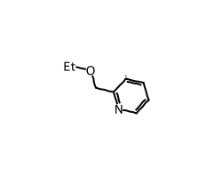 CCOCc1[c]cccn1